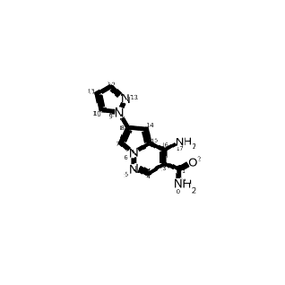 NC(=O)c1cnn2cc(-n3cccn3)cc2c1N